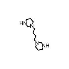 C(CCN1CCCNC1)CN1CCCNC1